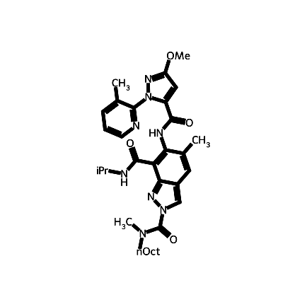 CCCCCCCCN(C)C(=O)n1cc2cc(C)c(NC(=O)c3cc(OC)nn3-c3ncccc3C)c(C(=O)NC(C)C)c2n1